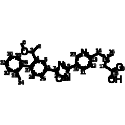 COC(C)c1cc(-c2nc(-c3ccc(CN(C)CC(=O)O)nc3)no2)ccc1-c1ccccc1C